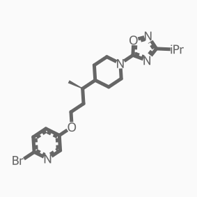 CC(C)c1noc(N2CCC([C@H](C)CCOc3ccc(Br)nc3)CC2)n1